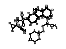 CN(CCN1CCOCC1)c1ncnc2[nH]c3cc(S(=O)(=O)NC4(C#N)CC4)ccc3c12